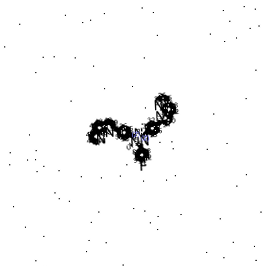 C=N/C(=N\C(=N/Cc1ccc(F)cc1)c1ccc(-c2ccc3ccc4cccnc4c3n2)cc1)c1ccc(-c2ccc3ccc4cccnc4c3n2)cc1